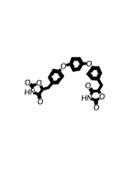 O=C1NC(=O)C(Cc2ccc(Oc3ccc(Oc4ccc(CC5OC(=O)NC5=O)cc4)cc3)cc2)O1